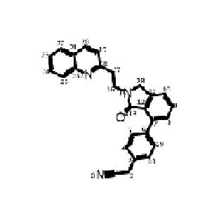 N#CCc1ccc(-c2cccc3c2C(=O)N(CCc2ccc4ccccc4n2)C3)cc1